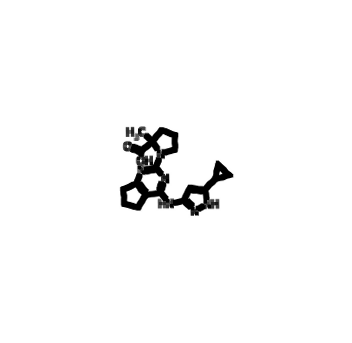 CC1(C(=O)O)CCCN1c1nc2c(c(Nc3cc(C4CC4)[nH]n3)n1)CCC2